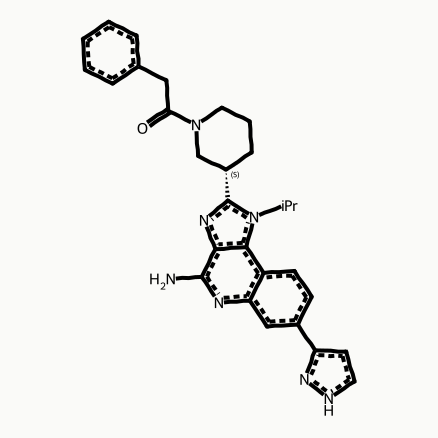 CC(C)n1c([C@H]2CCCN(C(=O)Cc3ccccc3)C2)nc2c(N)nc3cc(-c4cc[nH]n4)ccc3c21